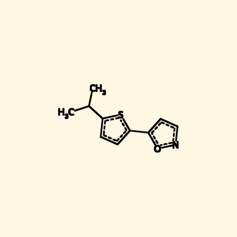 CC(C)c1ccc(-c2ccno2)s1